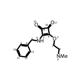 CNCCOc1c(NCc2ccccc2)c(=O)c1=O